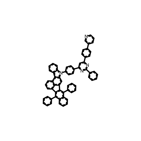 c1ccc(-c2nc(-c3ccc(-c4cccnc4)cc3)cc(-c3ccc(-n4c5ccccc5c5c6cccc7c6c(cc54)-c4c-7c(-c5ccccc5)c5ccccc5c4-c4ccccc4)cc3)n2)cc1